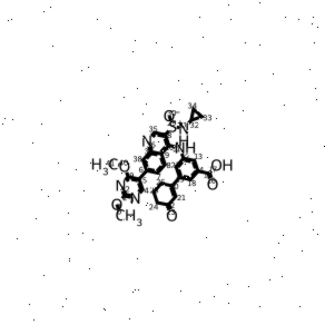 COc1ncc(-c2ccc3c(Nc4cc(C(=O)O)cc(C5=CC(=O)CCC5)c4)c([S+]([O-])NC4CC4)cnc3c2)c(OC)n1